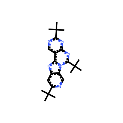 CC(C)(C)c1cc2nc3c4cnc(C(C)(C)C)nc4nc(C(C)(C)C)n3c2cn1